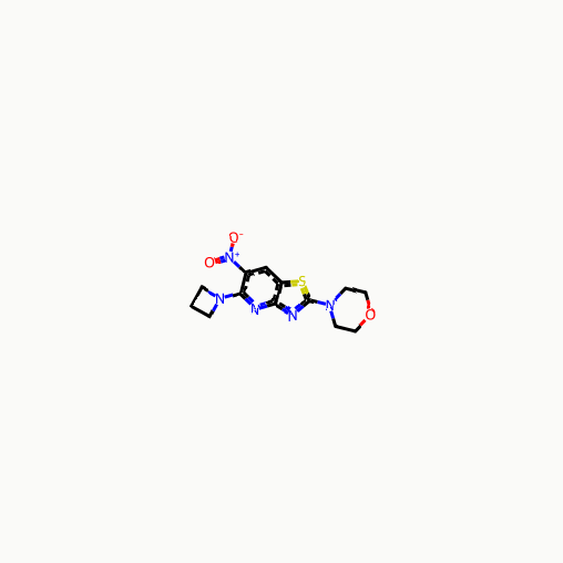 O=[N+]([O-])c1cc2sc(N3CCOCC3)nc2nc1N1CCC1